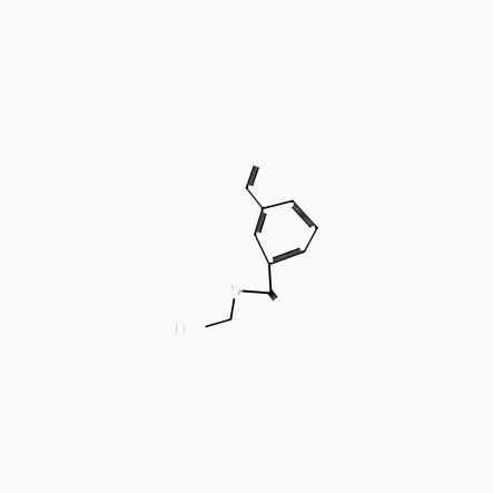 C=Cc1cccc(C(=O)NCC)c1